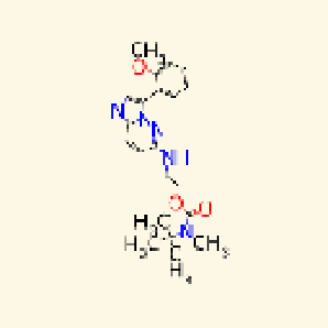 COc1ccccc1-c1cnc2ccc(NCCOC(=O)N(C)C(C)(C)C)nn12